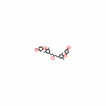 COc1ccc(Oc2c(C)cc(CCC(=O)CCc3cc(C)c(Oc4ccc(OC)cc4)c(C)c3)cc2C)cc1